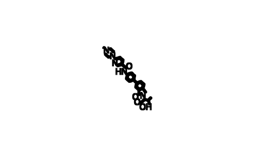 CC(C)C(C(=O)O)N1Cc2ccc(-c3ccc(NC(=O)c4ccc(N5CCN(C)CC5)nc4)cc3)cc2C1=O